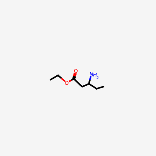 CCOC(=O)CC(N)CC